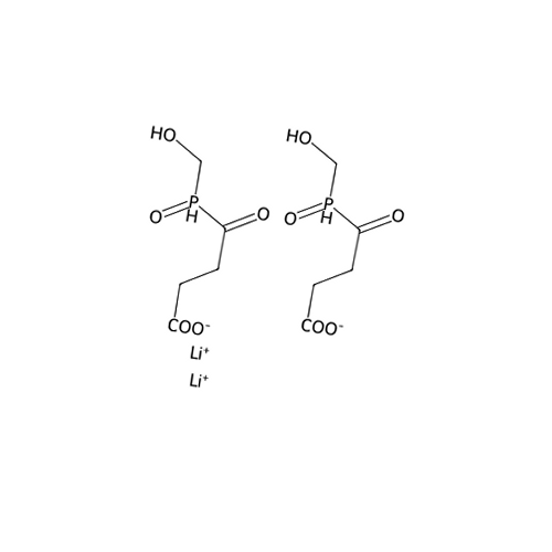 O=C([O-])CCC(=O)[PH](=O)CO.O=C([O-])CCC(=O)[PH](=O)CO.[Li+].[Li+]